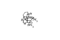 COC1(c2ccnc(C(N)=O)c2)[C@@H]2CCC[C@H]1CN([C@@H]1CC[C@H]1C)C2